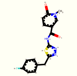 Cn1cc(C(=O)Nc2nnc(Cc3ccc(F)cc3)s2)ccc1=O